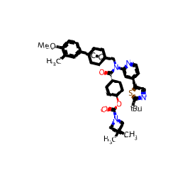 COc1ccc(C23CCC(CN(c4cc(-c5cnc(C(C)(C)C)s5)ccn4)C(=O)[C@H]4CC[C@H](OC(=O)N5CC(C)(C)C5)CC4)(CC2)CC3)cc1C